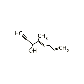 C#CC(O)/C(C)=C/CC=C